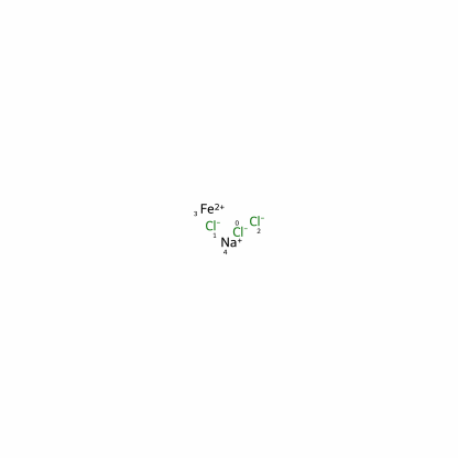 [Cl-].[Cl-].[Cl-].[Fe+2].[Na+]